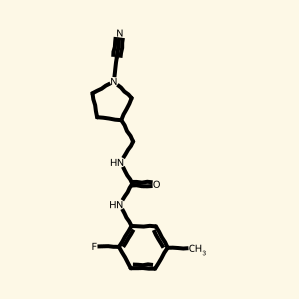 Cc1ccc(F)c(NC(=O)NCC2CCN(C#N)C2)c1